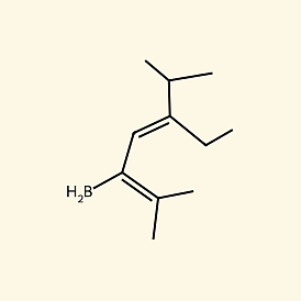 BC(/C=C(\CC)C(C)C)=C(C)C